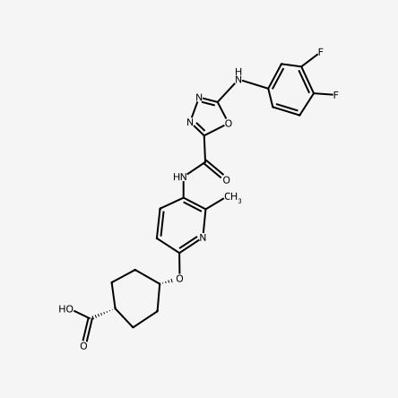 Cc1nc(O[C@H]2CC[C@@H](C(=O)O)CC2)ccc1NC(=O)c1nnc(Nc2ccc(F)c(F)c2)o1